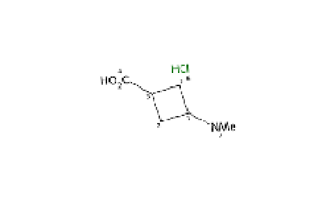 CNC1CC(C(=O)O)C1.Cl